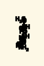 COCCCNC(=O)c1cccc(CNc2ncc(-c3ccnc(N)n3)c3c2CCO3)c1F